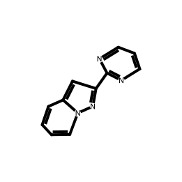 c1cnc(-c2cc3ccccn3n2)nc1